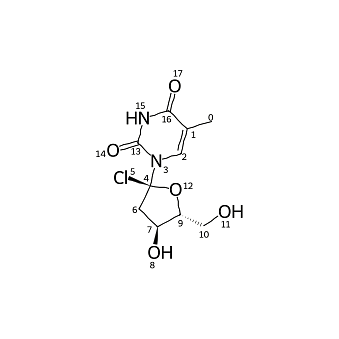 Cc1cn([C@@]2(Cl)C[C@H](O)[C@@H](CO)O2)c(=O)[nH]c1=O